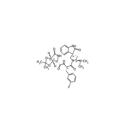 C=[N+](C)[C@@H]1C[C@@]2(CN1C(=O)[C@H](Cc1cccc(F)c1)NC(=O)[C@H]1NC(=O)[C@H]3OC(C)(C)O[C@@H]13)C(=O)Nc1ccccc12